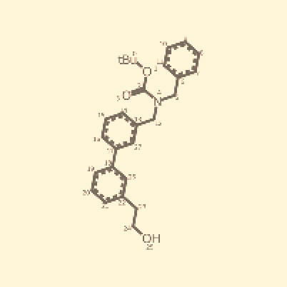 CC(C)(C)OC(=O)N(Cc1ccccc1)Cc1cccc(-c2cccc(CCO)c2)c1